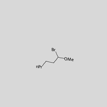 CCCCCC(Br)OC